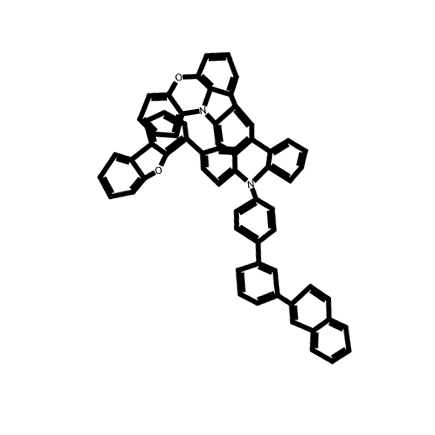 c1cc(-c2ccc(N(c3ccc(-c4cccc5c4oc4ccccc45)cc3)c3ccccc3-c3ccc4c(c3)c3cccc5c3n4-c3ccccc3O5)cc2)cc(-c2ccc3ccccc3c2)c1